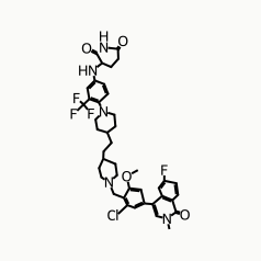 COc1cc(-c2cn(C)c(=O)c3ccc(F)cc23)cc(Cl)c1CN1CCC(CCC2CCN(c3ccc(NC4CCC(=O)NC4=O)cc3C(F)(F)F)CC2)CC1